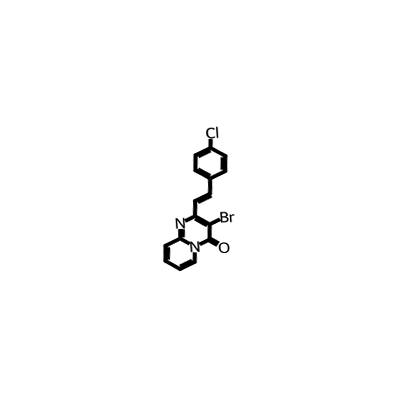 O=c1c(Br)c(/C=C/c2ccc(Cl)cc2)nc2ccccn12